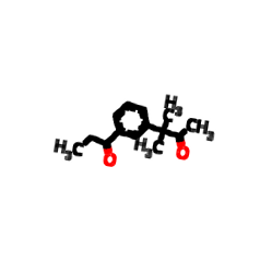 CCC(=O)c1cccc(C(C)(C)C(C)=O)c1